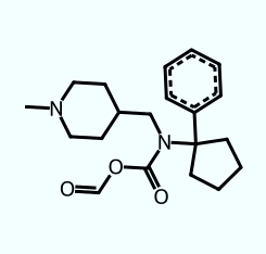 CN1CCC(CN(C(=O)OC=O)C2(c3ccccc3)CCCC2)CC1